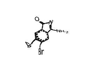 NC1=NC(=O)c2cc(Br)c(Br)cc21